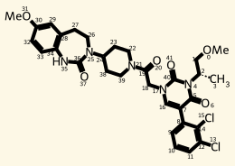 COC[C@H](C)n1c(=O)c(-c2cccc(Cl)c2Cl)cn(CC(=O)N2CCC(N3CCc4cc(OC)ccc4NC3=O)CC2)c1=O